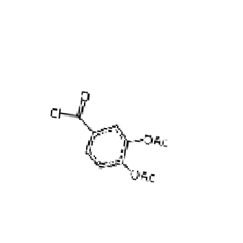 CC(=O)Oc1ccc(C(=O)Cl)cc1OC(C)=O